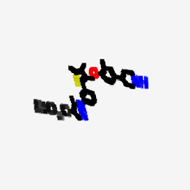 CCOC(=O)c1cnn(-c2cccc(-c3sc(C)c(C)c3COc3ccc(C4CCNCC4)cc3C)c2)c1C